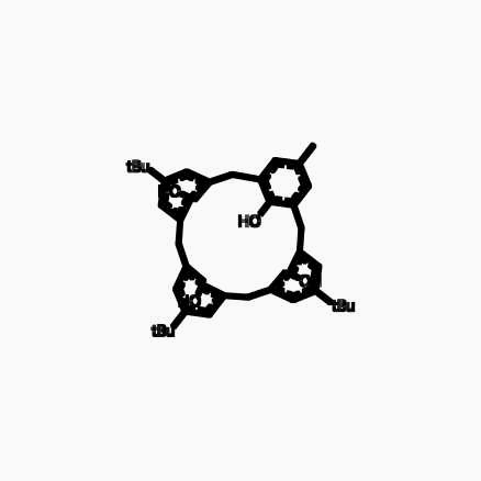 Cc1cc2c(O)c(c1)Cc1cc(C(C)(C)C)cc(c1O)Cc1cc(C(C)(C)C)cc(c1O)Cc1cc(C(C)(C)C)cc(c1O)C2